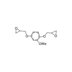 COc1cc(OCC2CO2)ccc1OCC1CO1